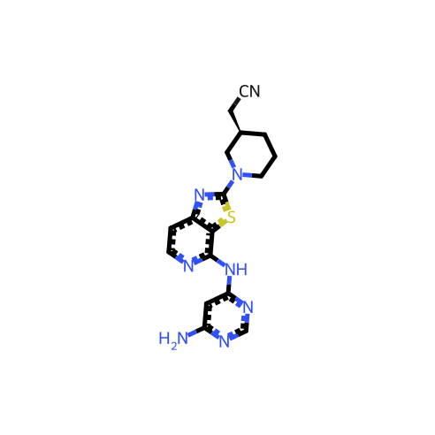 N#CC[C@H]1CCCN(c2nc3ccnc(Nc4cc(N)ncn4)c3s2)C1